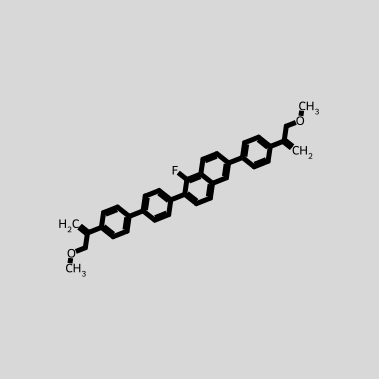 C=C(COC)c1ccc(-c2ccc(-c3ccc4cc(-c5ccc(C(=C)COC)cc5)ccc4c3F)cc2)cc1